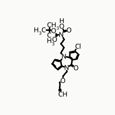 C#CCOCCN1C(=O)c2ccc(Cl)cc2N(CCCCN(C(=O)O)C(=O)OC(C)(C)C)c2ccccc21